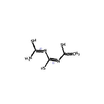 C=C(S)/N=C(S)\N=C(/N)S